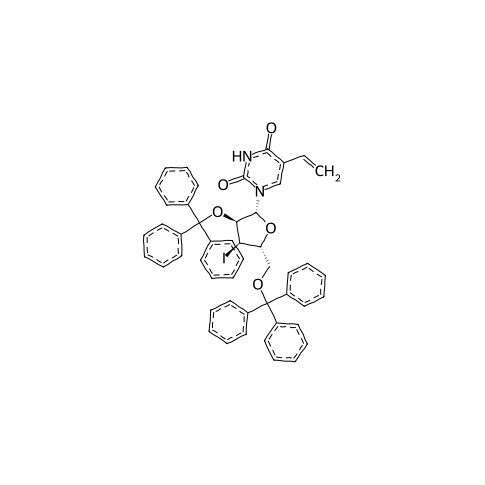 C=Cc1cn([C@@H]2O[C@H](COC(c3ccccc3)(c3ccccc3)c3ccccc3)[C@@H](I)[C@H]2OC(c2ccccc2)(c2ccccc2)c2ccccc2)c(=O)[nH]c1=O